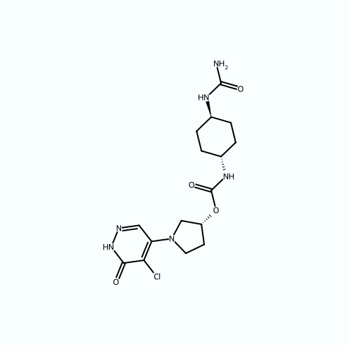 NC(=O)N[C@H]1CC[C@H](NC(=O)O[C@@H]2CCN(c3cn[nH]c(=O)c3Cl)C2)CC1